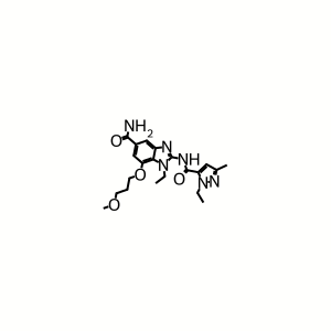 CCn1nc(C)cc1C(=O)Nc1nc2cc(C(N)=O)cc(OCCCOC)c2n1CC